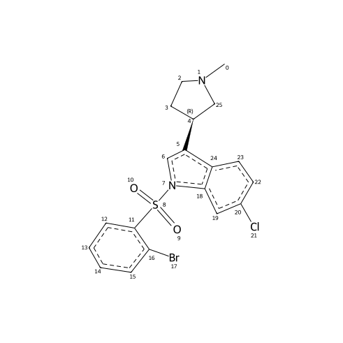 CN1CC[C@H](c2cn(S(=O)(=O)c3ccccc3Br)c3cc(Cl)ccc23)C1